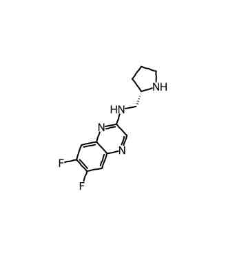 Fc1cc2ncc(NC[C@@H]3CCCN3)nc2cc1F